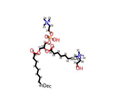 CCCCCCCCCCCCCCCCCC(=O)OCC(COP(=O)(O)OCC[N+](C)(C)C)OC(=O)CCCCCCCCCCCCCCC.C[N+](C)(C)CCO